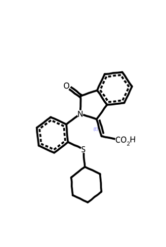 O=C(O)/C=C1\c2ccccc2C(=O)N1c1ccccc1SC1CCCCC1